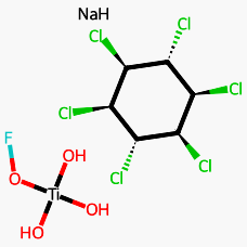 Cl[C@H]1[C@H](Cl)[C@@H](Cl)[C@@H](Cl)[C@H](Cl)[C@H]1Cl.[NaH].[OH][Ti]([OH])([OH])[O]F